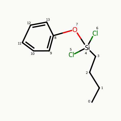 CCCC[Si](Cl)(Cl)Oc1ccccc1